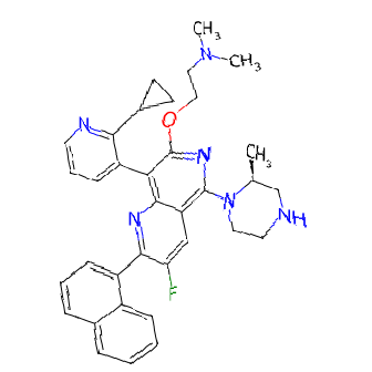 C[C@H]1CNCCN1c1nc(OCCN(C)C)c(-c2cccnc2C2CC2)c2nc(-c3cccc4ccccc34)c(F)cc12